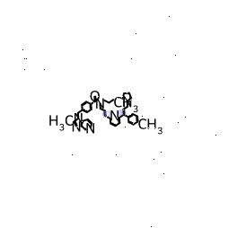 CCCCN(C/C=C/c1cccc(/C(=C/CN2CCCC2)c2ccc(C)cc2)n1)C(=O)c1ccc(Cn2c(C)nc3cnccc32)cc1